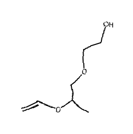 C=COC(C)COCCO